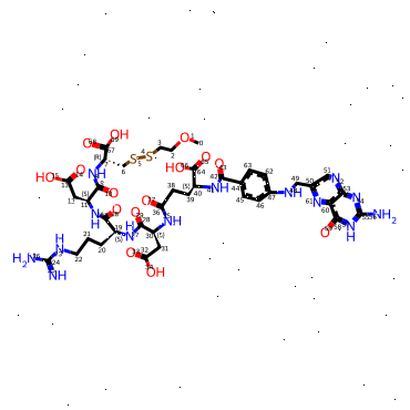 COCCSSC[C@H](NC(=O)[C@H](CC(=O)O)NC(=O)[C@H](CCCNC(=N)N)NC(=O)[C@H](CC(=O)O)NC(=O)CC[C@H](NC(=O)c1ccc(NCc2cnc3nc(N)[nH]c(=O)c3n2)cc1)C(=O)O)C(=O)O